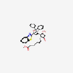 COC(=O)CCC/C=C\C[C@H]1C(=O)C[C@@H](O)[C@@H]1/C=C/[C@@H](O[Si](c1ccccc1)(c1ccccc1)C(C)(C)C)c1nc2ccccc2s1